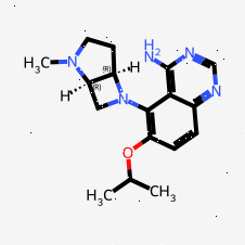 CC(C)Oc1ccc2ncnc(N)c2c1N1C[C@@H]2[C@H]1CCN2C